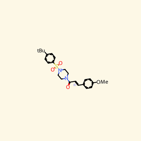 COc1ccc(/C=C/C(=O)N2CCN(S(=O)(=O)c3ccc(C(C)(C)C)cc3)CC2)cc1